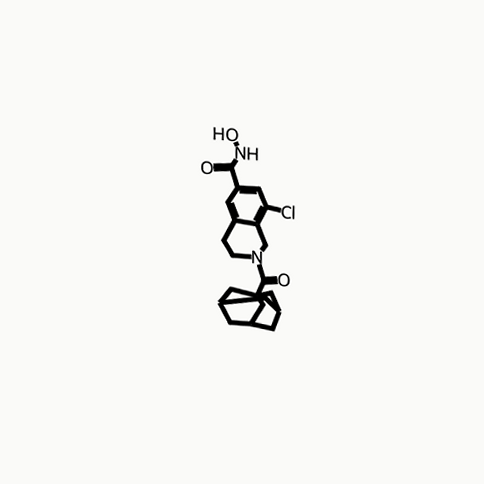 O=C(NO)c1cc(Cl)c2c(c1)CCN(C(=O)C13CC4CC(CC(C4)C1)C3)C2